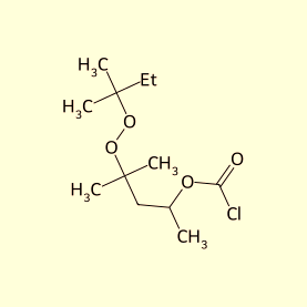 CCC(C)(C)OOC(C)(C)CC(C)OC(=O)Cl